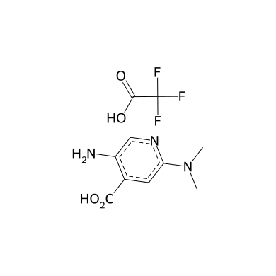 CN(C)c1cc(C(=O)O)c(N)cn1.O=C(O)C(F)(F)F